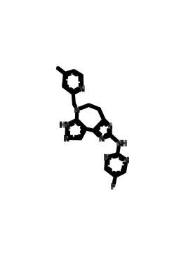 Cc1ccnc(CN2CCc3sc(Nc4ncc(F)cn4)nc3-c3cn[nH]c32)c1